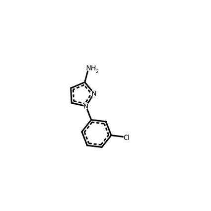 Nc1ccn(-c2cccc(Cl)c2)n1